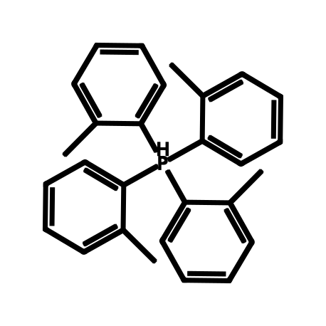 Cc1ccccc1[PH](c1ccccc1C)(c1ccccc1C)c1ccccc1C